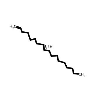 C=CCCCCCCCCCCCCCCCC.[TeH2]